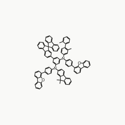 Cc1ccccc1-c1ccc(N(c2ccc(-c3cccc4c3oc3ccccc34)cc2)c2cc(-c3ccc4c(c3)C3(c5ccccc5-c5ccccc53)c3ccccc3-4)cc(N(c3ccc(-c4cccc5c4oc4ccccc45)cc3)c3ccc4c(c3)C(C)(C)c3ccccc3-4)c2)cc1C